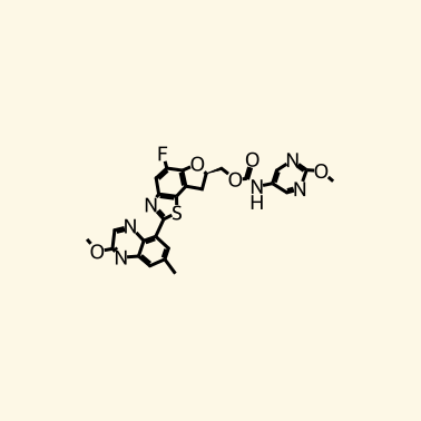 COc1cnc2c(-c3nc4cc(F)c5c(c4s3)C[C@H](COC(=O)Nc3cnc(OC)nc3)O5)cc(C)cc2n1